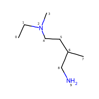 CCN(C)CCC(C)CN